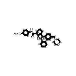 CCOC(=O)C1=C(C(=O)Nc2ccc(OC)cc2)C2C=CC1(C(Nc1ccccc1)c1ccc(CN3CCOCC3)cc1)O2